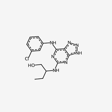 CCC(CO)Nc1nc(Nc2cccc(Cl)c2)c2nn[nH]c2n1